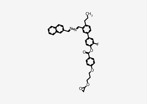 CCCc1ccc(-c2ccc(OC(=O)c3ccc(OCCCOC4CO4)cc3)c(F)c2)cc1/C=N/N=C/c1ccc2ccccc2c1